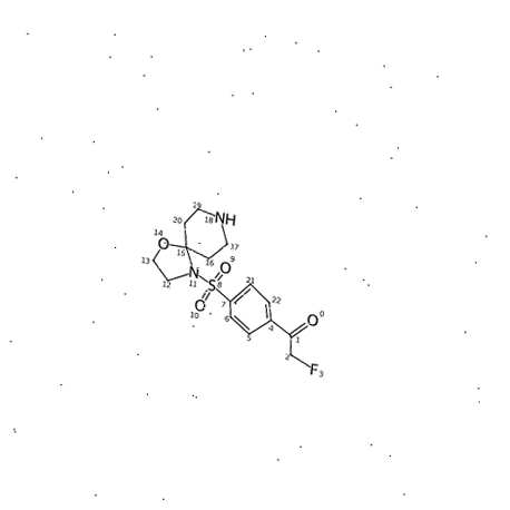 O=C(CF)c1ccc(S(=O)(=O)N2CCOC23CCNCC3)cc1